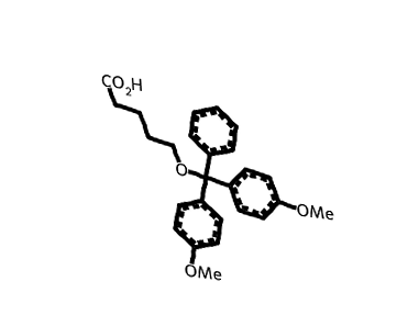 COc1ccc(C(OCCCCC(=O)O)(c2ccccc2)c2ccc(OC)cc2)cc1